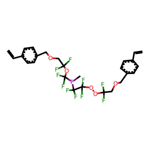 C=Cc1ccc(COCC(F)(F)OOC(F)(F)C(F)(F)P(C)C(F)(F)OC(F)(F)COCc2ccc(C=C)cc2)cc1